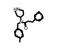 Cc1ccc(CN(C(=O)CCc2ccccc2)C2CCNCC2)cc1